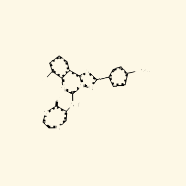 COc1ccc(-c2nc3c4cccc(C(F)(F)F)c4nc(Nc4cnccnc4=O)n3n2)cc1